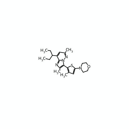 CCC(CC)c1cc(C)nn2c(-c3sc(N4CCOCC4)cc3C)c(C)nc12